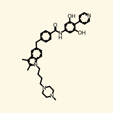 Cc1c(C)n(CCCCN2CCN(C)CC2)c2ccc(Cc3ccc(C(=O)Nc4cc(O)c(-c5ccncc5)c(O)c4)cc3)cc12